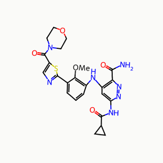 COc1c(Nc2cc(NC(=O)C3CC3)nnc2C(N)=O)cccc1-c1ncc(C(=O)N2CCOCC2)s1